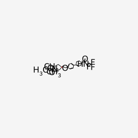 CC(C)(C)OC(=O)N1CCC(COc2ccc(C3=CCC(C(=O)NCC(F)(F)F)CC3)cc2)CC1